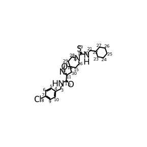 O=C(NCc1ccc(Cl)cc1)C1=NOC2(CCN(C(=S)NCC3CCCCC3)CC2)C1